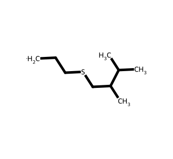 [CH2]CCSCC(C)C(C)C